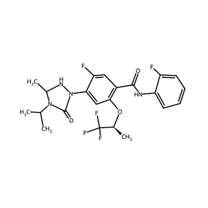 CC(C)N1C(=O)N(c2cc(O[C@@H](C)C(F)(F)F)c(C(=O)Nc3ccccc3F)cc2F)NC1C